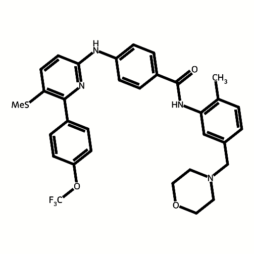 CSc1ccc(Nc2ccc(C(=O)Nc3cc(CN4CCOCC4)ccc3C)cc2)nc1-c1ccc(OC(F)(F)F)cc1